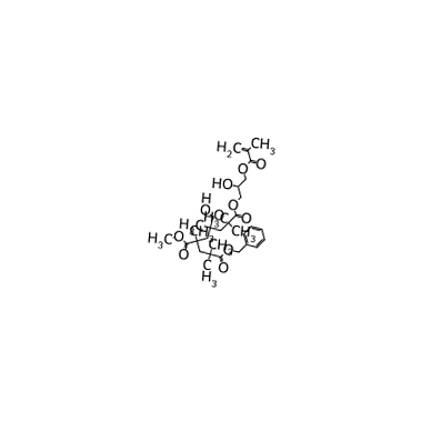 C=C(C)C(=O)OCC(O)COC(=O)C(C)(C)CC(C)(CC(C)(CC(C)(C)C(=O)OCc1ccccc1)C(=O)OC)C(=O)O